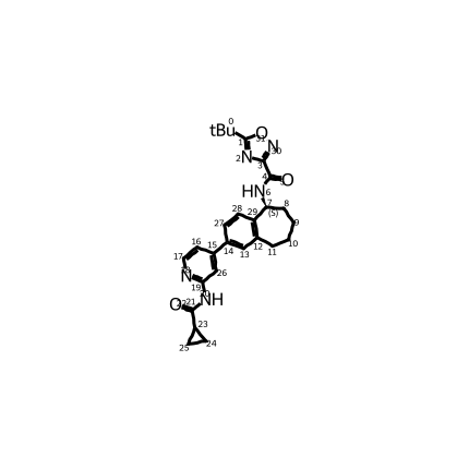 CC(C)(C)c1nc(C(=O)N[C@H]2CCCCc3cc(-c4ccnc(NC(=O)C5CC5)c4)ccc32)no1